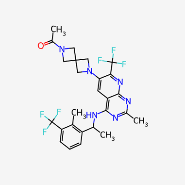 CC(=O)N1CC2(C1)CN(c1cc3c(NC(C)c4cccc(C(F)(F)F)c4C)nc(C)nc3nc1C(F)(F)F)C2